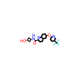 O=C(N[C@H]1C[C@@H](O)C1)c1ccc2cc(Oc3ccc(C(F)(F)F)cn3)ccc2n1